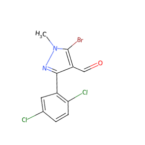 Cn1nc(-c2cc(Cl)ccc2Cl)c(C=O)c1Br